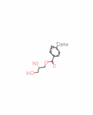 COc1ccc(C(=O)OC[C@@H](O)CO)cc1